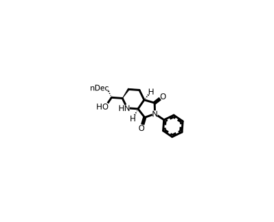 CCCCCCCCCC[C@@H](O)[C@H]1CC[C@H]2C(=O)N(c3ccccc3)C(=O)[C@H]2N1